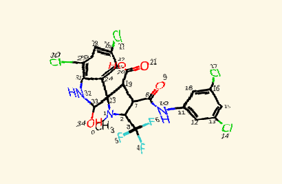 CN1C(C(F)(F)F)C(C(=O)Nc2cc(Cl)cc(Cl)c2)C(C(=O)O)C12c1cc(Cl)cc(Cl)c1NC2O